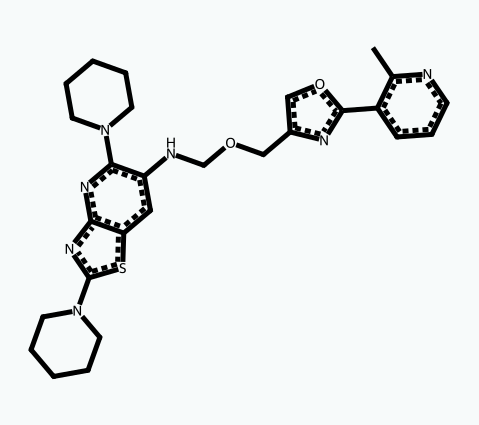 Cc1ncccc1-c1nc(COCNc2cc3sc(N4CCCCC4)nc3nc2N2CCCCC2)co1